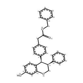 O=C(Cc1ccc([C@@H]2c3ccc(O)cc3OC[C@@H]2c2ccccc2)cc1)OCc1ccccc1